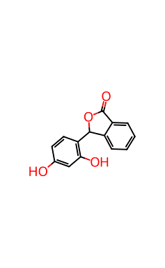 O=C1OC(c2ccc(O)cc2O)c2ccccc21